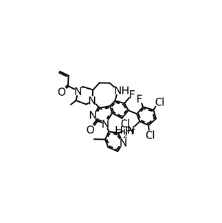 C=CC(=O)N1CC2CCNc3c(F)c(-c4c(N)c(Cl)cc(Cl)c4F)c(Cl)c4c3c(nc(=O)n4-c3c(C)ccnc3C(C)C)N2CC1C